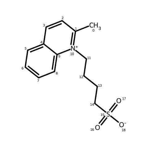 Cc1ccc2ccccc2[n+]1CCCCS(=O)(=O)[O-]